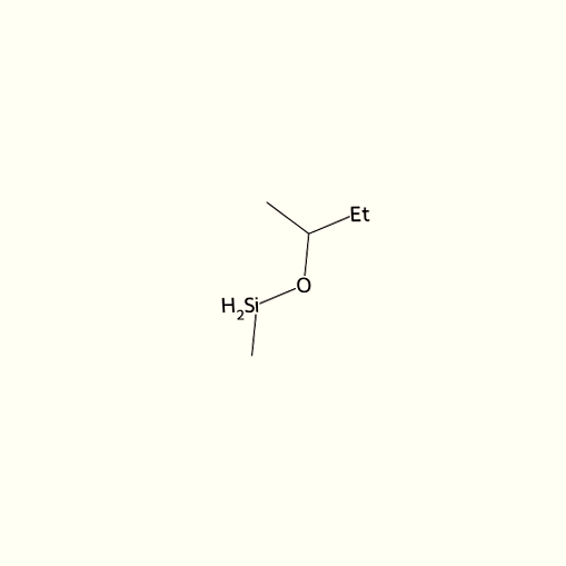 CCC(C)O[SiH2]C